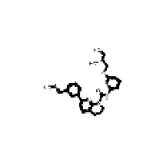 C/N=C/c1cccc(-c2ccc3c(n2)N(C(=O)Nc2cccc(OC[C@H](O)CO)n2)CCC3)c1